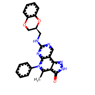 Cc1c2c(=O)[nH]nc-2c2cnc(NC[C@H]3COc4ccccc4O3)nc2n1-c1ccccc1